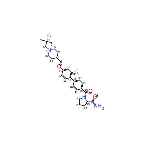 CC(C)(F)CN1CCC(COc2ccc(-c3ccc(C(=O)N4CCC[C@H]4C(N)=O)cc3)c(F)c2)CC1